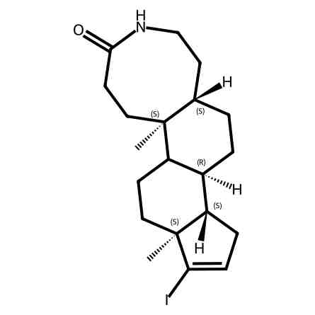 C[C@]12CCC3[C@@H](CC[C@H]4CCNC(=O)CC[C@]34C)[C@@H]1CC=C2I